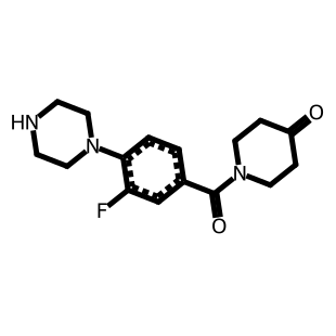 O=C1CCN(C(=O)c2ccc(N3CCNCC3)c(F)c2)CC1